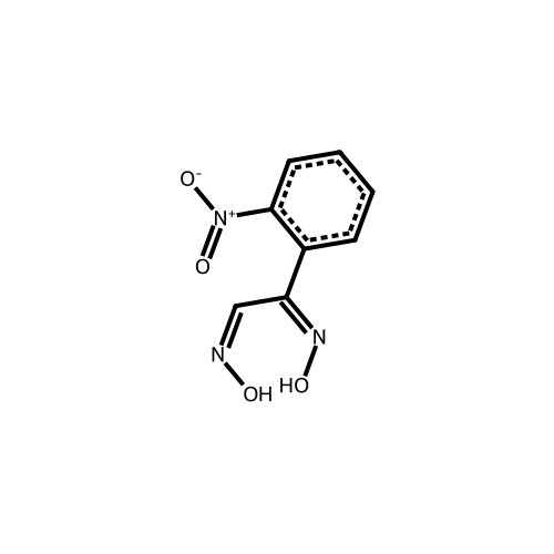 O=[N+]([O-])c1ccccc1C(/C=N\O)=N/O